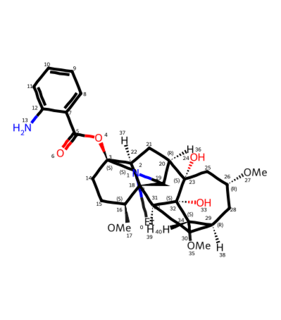 CCN1C[C@]2(OC(=O)c3ccccc3N)CC[C@H](OC)[C@]34C1[C@@H](C[C@H]23)[C@@]1(O)C[C@H](OC)C[C@H]2C[C@@H]4[C@]1(O)[C@H]2OC